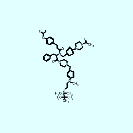 CC(=O)N1CCN(c2ccc(CN(C(=O)C=Cc3ccc(OC(F)F)cc3)C(Cc3ccccc3)C(=O)N3CCN(Cc4ccc(N(C)CCO[Si](C)(C)C(C)(C)C)cc4)CC3)cc2)CC1